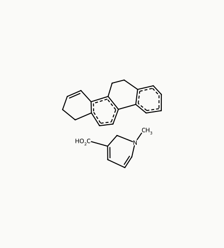 C1=Cc2c(ccc3c2CCc2ccccc2-3)CC1.CN1C=CC=C(C(=O)O)C1